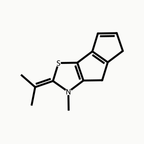 CC(C)=C1SC2=C(CC3=C2C=CC3)N1C